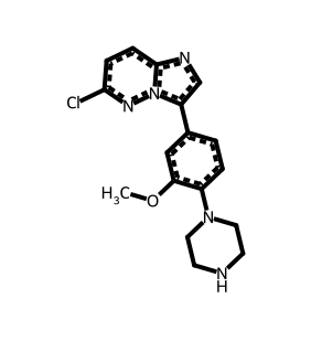 COc1cc(-c2cnc3ccc(Cl)nn23)ccc1N1CCNCC1